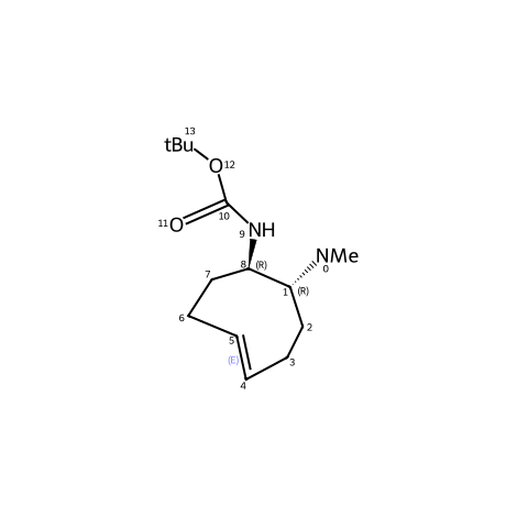 CN[C@@H]1CC/C=C/CC[C@H]1NC(=O)OC(C)(C)C